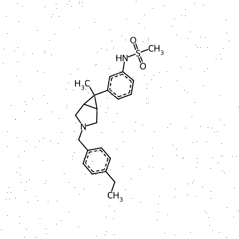 CCc1ccc(CN2CC3C(C2)C3(C)c2cccc(NS(C)(=O)=O)c2)cc1